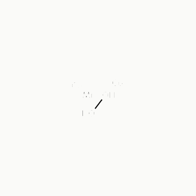 OO.[Co].[Co].[Mn]